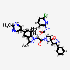 CC(=O)c1nn(CC(=O)N2C[C@@]3(CC(c4ccccc4)=NO3)C[C@H]2C(=O)Nc2nc(Br)ccc2C)c2c(C)cc(-c3cnc(C)nc3)cc12